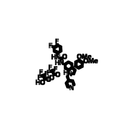 COc1ccc([C@@]23CC[C@@H](NC(=O)Nc4ccc(F)c(F)c4)C[C@@H]2N(Cc2ccncc2)CC3)cc1OC.O=C(O)C(F)(F)F.O=C(O)C(F)(F)F